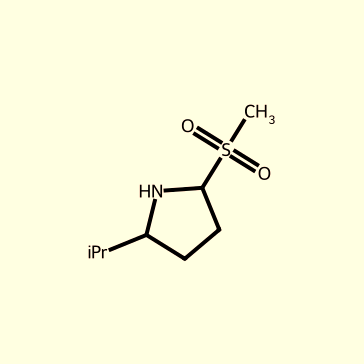 CC(C)C1CCC(S(C)(=O)=O)N1